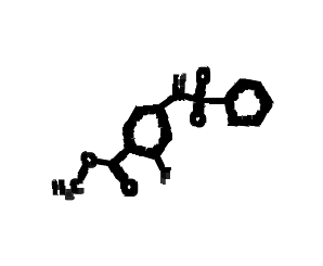 COC(=O)c1ccc(NS(=O)(=O)c2ccccc2)cc1F